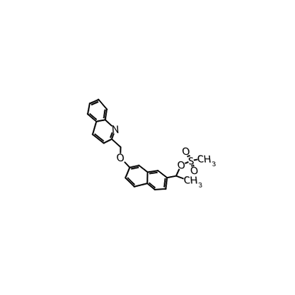 CC(OS(C)(=O)=O)c1ccc2ccc(OCc3ccc4ccccc4n3)cc2c1